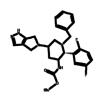 CC(C)(C)OC(=O)NC1CC(N2Cc3cn[nH]c3C2)CN(Cc2ccccc2)[C@@H]1c1cc(F)ccc1F